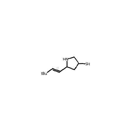 CC(C)(C)/C=C/C1CC(S)CN1